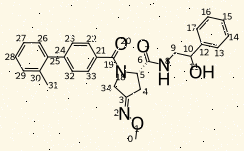 CO/N=C1\C[C@@H](C(=O)NCC(O)c2ccccc2)N(C(=O)c2ccc(-c3ccccc3C)cc2)C1